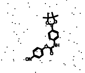 CC1(C)OB(c2ccc(NC(=O)Oc3ccc(N=O)cc3)cc2)OC1(C)C